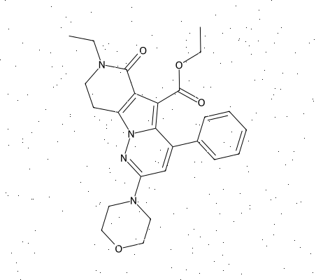 CCOC(=O)c1c2c(n3nc(N4CCOCC4)cc(-c4ccccc4)c13)CCN(CC)C2=O